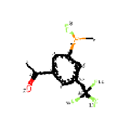 CC(=O)c1cc(P(C)F)cc(C(F)(F)F)c1